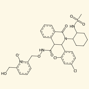 CS(=O)(=O)NC1CCCCC1N1C(=O)c2ccccc2C(C(=O)NOCc2cccc(CO)[n+]2[O-])C1c1ccc(Cl)cc1Cl